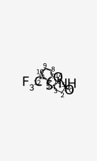 O=C1CCC(Sc2ccccc2C(F)(F)F)C(=O)N1